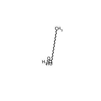 CCCCCCCCCCCCCCCCCCCCC(CO)C(N)=O